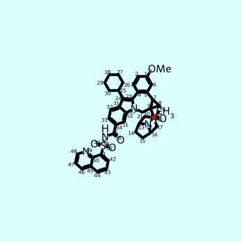 COc1ccc2c(c1)C1CC1(C(=O)N1C3CCC1CN(C)C3)Cn1c-2c(C2CCCCC2)c2ccc(C(=O)NS(=O)(=O)c3cccc4cccnc34)cc21